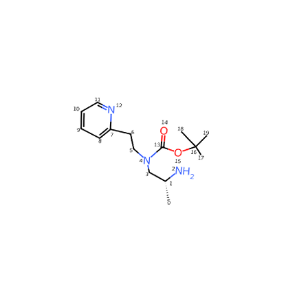 C[C@@H](N)CN(CCc1ccccn1)C(=O)OC(C)(C)C